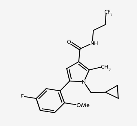 COc1ccc(F)cc1-c1cc(C(=O)NCCC(F)(F)F)c(C)n1CC1CC1